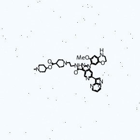 COc1cc2c(cc1-n1nc(C(=O)NCCN3CCC(C(=O)OC4CCN(C)CC4)CC3)c3cnc(-c4cnn5cccnc45)cc31)OCCN2